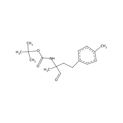 Cc1ccc(CCC(C)(C=O)NC(=O)OC(C)(C)C)cc1